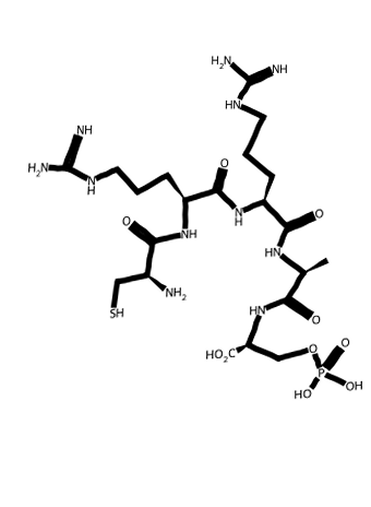 C[C@H](NC(=O)[C@H](CCCNC(=N)N)NC(=O)[C@H](CCCNC(=N)N)NC(=O)[C@@H](N)CS)C(=O)N[C@@H](COP(=O)(O)O)C(=O)O